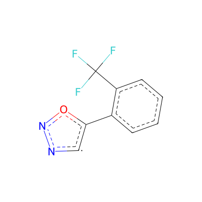 FC(F)(F)c1ccccc1-c1[c]nno1